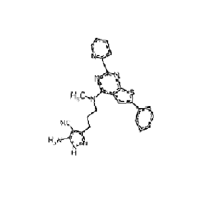 CN(CCCc1n[nH]c(N)c1C#N)c1nc(-c2ccccn2)nc2sc(-c3ccccc3)cc12